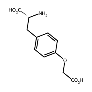 N[C@H](Cc1ccc(OCC(=O)O)cc1)C(=O)O